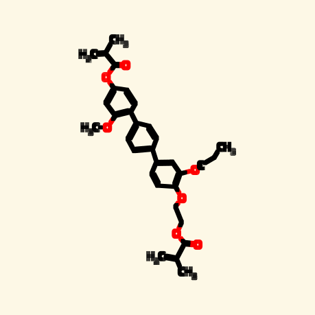 C=C(C)C(=O)OCCOc1ccc(-c2ccc(-c3ccc(OC(=O)C(=C)C)cc3OC)cc2)cc1OCCC